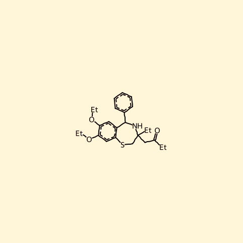 CCOc1cc2c(cc1OCC)C(c1ccccc1)NC(CC)(CC(=O)CC)CS2